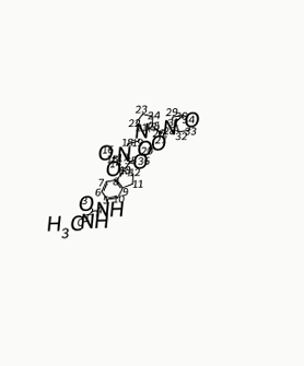 CNC(=O)Nc1ccc2c(c1)CC[C@@]21OC(=O)N(CC(=O)N2CCC[C@H]2C(=O)N2CC3CC2CO3)C1=O